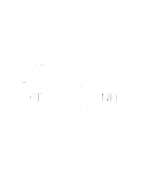 NC(=O)Oc1ccc(C(F)(C(F)(F)F)C(F)(F)F)cc1